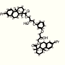 CC(C)c1ccc2c(c1)CCC1C(C)(C(=O)OCC(O)COc3cccc(OCC(O)COC(=O)C4(C)CCCC5(C)c6ccc(C(C)C)cc6CCC45)c3)CCCC21C